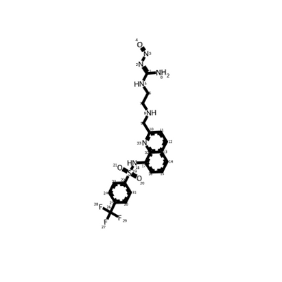 N/C(=N\N=O)NCCNCc1ccc2cccc(NS(=O)(=O)c3ccc(C(F)(F)F)cc3)c2n1